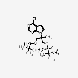 CC(C)(C)[SiH2]OCC(C)(CO[Si](C)(C)C(C)(C)C)n1ccc2c(Cl)ncnc21